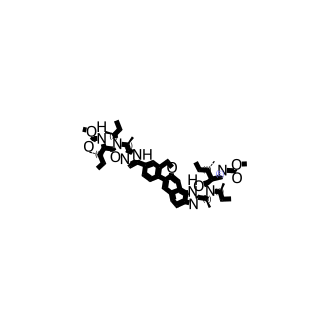 CC[C@H](C)C(/C=N/C(=O)OC)C(=O)N([C@@H](C)CC)[C@@H](C)c1nc2ccc3cc4c(cc3c2[nH]1)OCc1cc(-c2cnc([C@H](C)N(C(=O)C(NC(=O)OC)[C@@H](C)CC)[C@@H](C)CC)[nH]2)ccc1-4